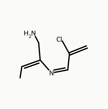 C=C(Cl)/C=N\C(=C/C)CN